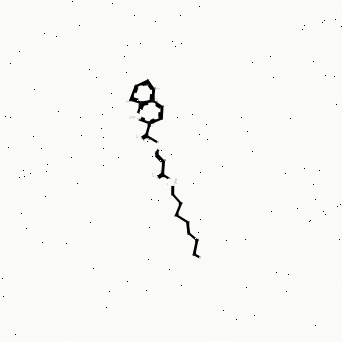 CCCCCCCCNC(=O)C=CSC(=O)c1ccc2ccccc2n1